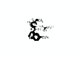 C=C[C@H]1C[N@]2CC[C@H]1C[C@H]2[C@H](O)c1ccnc2ccc(OC)cc12.CC(O)C(=O)O